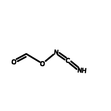 N=C=NOC=O